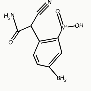 Bc1ccc(C(C#N)C(N)=O)c([N+](=O)O)c1